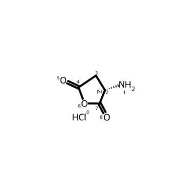 Cl.N[C@H]1CC(=O)OC1=O